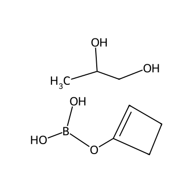 CC(O)CO.OB(O)OC1=CCC1